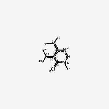 CC(C)=c1ncn(C)c(=O)c1=C(C)C